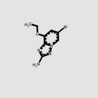 CCOc1cc(Br)cn2nc(N)nc12